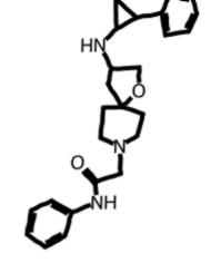 O=C(CN1CCC2(CC1)CC(NC1CC1c1ccccc1)CO2)Nc1ccccc1